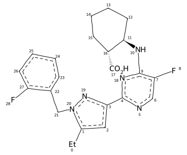 CCc1cc(-c2ncc(F)c(N[C@@H]3CCCC[C@H]3C(=O)O)n2)nn1Cc1ccccc1F